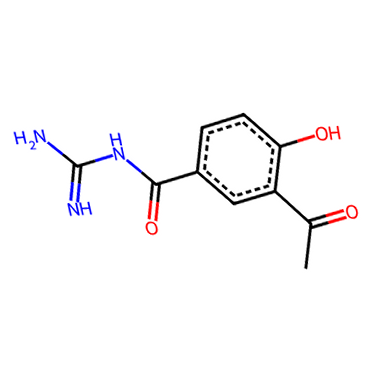 CC(=O)c1cc(C(=O)NC(=N)N)ccc1O